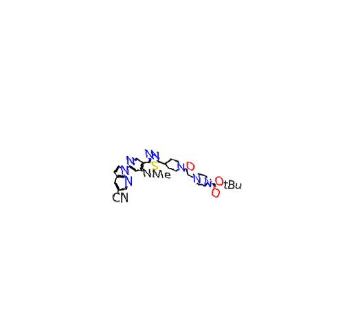 CNc1cc(-n2ccc3cc(C#N)cnc32)ncc1-c1nnc(C2CCN(C(=O)CN3CCN(C(=O)OC(C)(C)C)CC3)CC2)s1